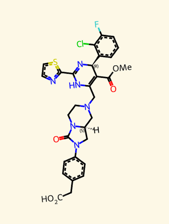 COC(=O)C1=C(CN2CCN3C(=O)N(c4ccc(CC(=O)O)cc4)C[C@@H]3C2)NC(c2nccs2)=N[C@H]1c1cccc(F)c1Cl